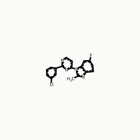 Cc1nc2ccc(F)cc2n1-c1ccnc(-c2cccc(Cl)c2)n1